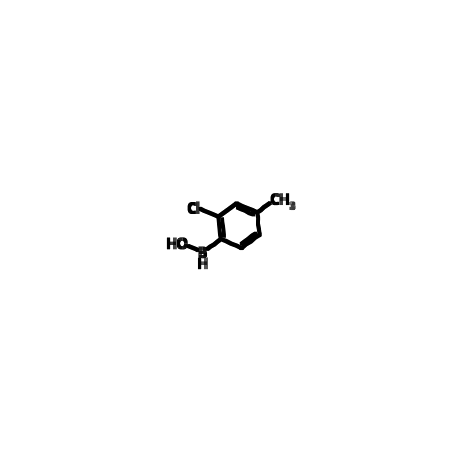 Cc1ccc(BO)c(Cl)c1